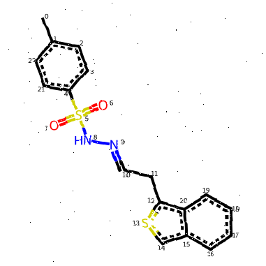 Cc1ccc(S(=O)(=O)NN=CCc2scc3ccccc23)cc1